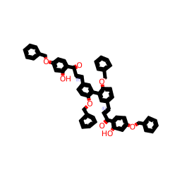 O=C(/C=C/c1ccc(OCc2ccccc2)c(-c2cc(/C=C/C(=O)c3ccc(OCc4ccccc4)cc3O)ccc2OCc2ccccc2)c1)c1ccc(OCc2ccccc2)cc1O